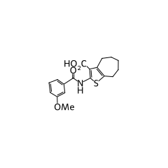 COc1cccc(C(=O)Nc2sc3c(c2C(=O)O)CCCCC3)c1